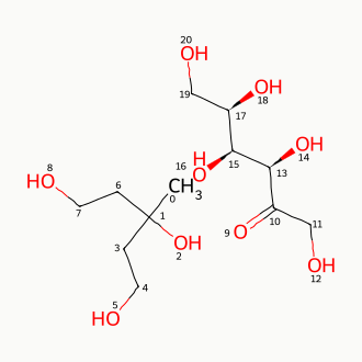 CC(O)(CCO)CCO.O=C(CO)[C@H](O)[C@@H](O)[C@H](O)CO